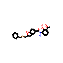 CC(=O)c1cccc(NC(=O)c2ccc3c(c2)CC(CSCc2ccccc2)O3)c1O